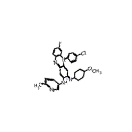 COC1CCC(/N=c2\cc3n(-c4ccc(Cl)cc4)c4cc(F)ccc4nc-3cc2Nc2ccc(C)nc2)CC1